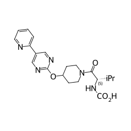 CC(C)[C@H](NC(=O)O)C(=O)N1CCC(Oc2ncc(-c3ccccn3)cn2)CC1